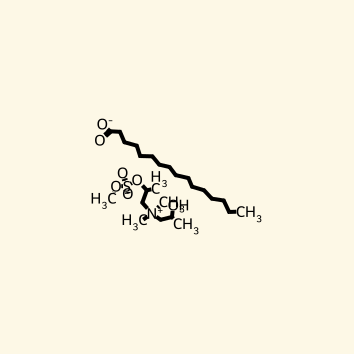 CCCCCCCCCCCCCCCC(=O)[O-].COS(=O)(=O)OC(C)C[N+](C)(C)CC(C)O